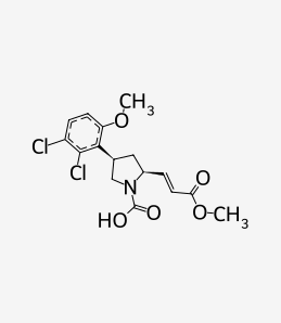 COC(=O)C=C[C@@H]1C[C@H](c2c(OC)ccc(Cl)c2Cl)CN1C(=O)O